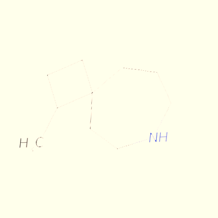 CC1CCC12CCCNCC2